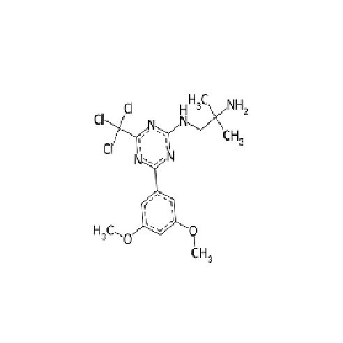 COc1cc(OC)cc(-c2nc(NCC(C)(C)N)nc(C(Cl)(Cl)Cl)n2)c1